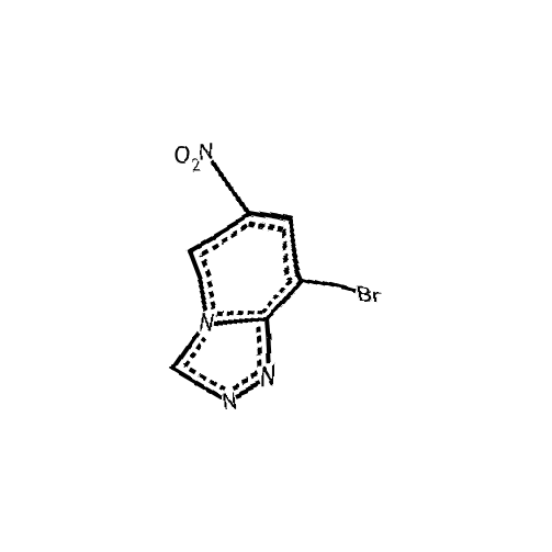 O=[N+]([O-])c1cc(Br)c2nncn2c1